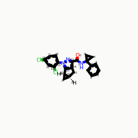 O=C(NC1(c2ccccc2)CC1)c1nn(-c2ccc(Cl)cc2Cl)c2c1C[C@H]1C[C@@H]21